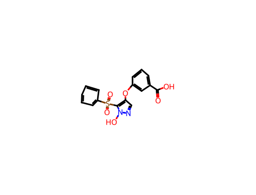 O=C(O)c1cccc(Oc2cnn(O)c2S(=O)(=O)c2ccccc2)c1